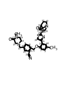 Cc1ccc(OCc2ccc(CN3CCN(C)C(=O)C3)cc2C#N)c(-c2csc(N3CC4CCN(C3)[C@H]4C=O)n2)c1